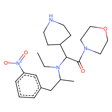 CCN(C(C)Cc1cccc([N+](=O)[O-])c1)C(C(=O)N1CCOCC1)C1CCNCC1